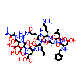 CCCC[C@H](NC(=O)[C@H](CCC(N)=O)NC(=O)[C@H](CCCCN)NC(=O)[C@@H](C)NC(=O)[C@H](CC(C)C)NC(=O)[C@@H](CC(O)O)NCc1ccccc1)C(=O)N[C@@H](CCC(=O)O)C(=O)N[C@@H](CCC(=O)O)C(=O)N[C@@H](CCC(=O)O)C(=O)N[C@@H](C)C(=O)NC